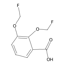 O=C(O)c1cccc(OCF)c1OCF